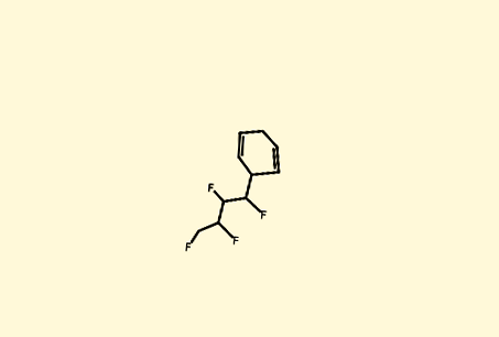 FCC(F)C(F)C(F)C1C=CCC=C1